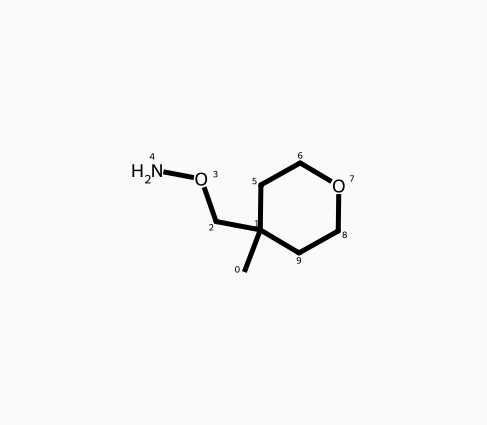 CC1(CON)CCOCC1